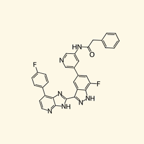 O=C(Cc1ccccc1)Nc1cncc(-c2cc(F)c3[nH]nc(-c4nc5c(-c6ccc(F)cc6)ccnc5[nH]4)c3c2)c1